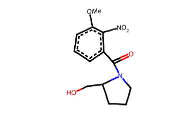 COc1cccc(C(=O)N2CCCC2CO)c1[N+](=O)[O-]